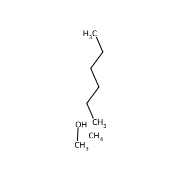 C.CCCCCC.CO